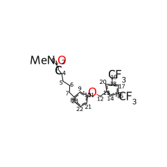 CNC(=O)CCCCCc1[c]c(OCc2cc(C(F)(F)F)cc(C(F)(F)F)c2)ccc1